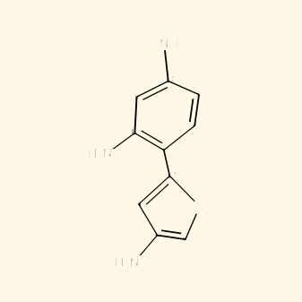 Nc1csc(-c2ccc(N)cc2N)c1